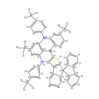 CC(C)(C)c1ccc(N2c3cc(C(C)(C)C)ccc3B3c4sc5c(c4N(c4ccc(C(C)(C)C)cc4)c4cc(C(C)(C)C)cc2c43)-c2ccccc2C52c3ccccc3-c3ccccc32)cc1